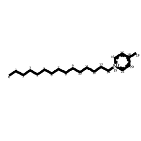 CCCCCCCCCCCCCCC[n+]1ccc(C)cc1